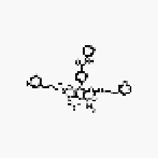 CC1=C(OC(=O)OCCCc2cccnc2)C(c2ccc(C(=O)Nc3ccccc3)cc2)C(OC(=O)OCCCc2cccnc2)=C(C)N1